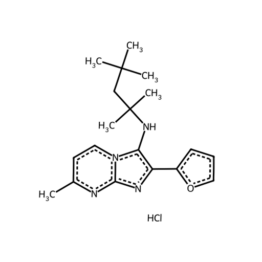 Cc1ccn2c(NC(C)(C)CC(C)(C)C)c(-c3ccco3)nc2n1.Cl